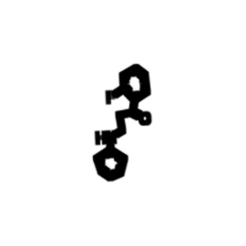 O=C(CCNc1ccccc1)c1ccccc1F